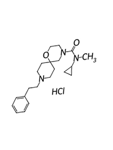 CN(C(=O)N1CCOC2(CCN(CCc3ccccc3)CC2)C1)C1CC1.Cl